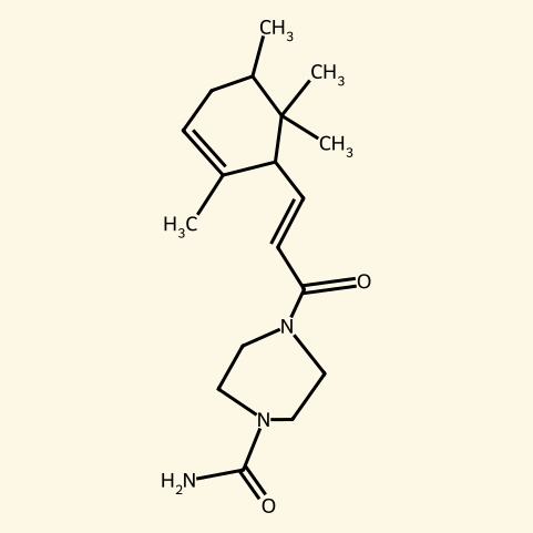 CC1=CCC(C)C(C)(C)C1/C=C/C(=O)N1CCN(C(N)=O)CC1